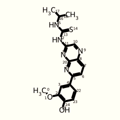 COc1cc(-c2ccc3ncc(NC(=S)NC(C)C)nc3n2)ccc1O